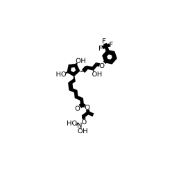 CC(CON(O)O)OC(=O)CCC/C=C\C[C@@H]1[C@@H](/C=C/[C@@H](O)COc2cccc(C(F)(F)F)c2)[C@H](O)C[C@@H]1O